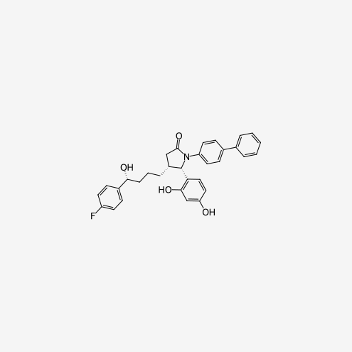 O=C1C[C@@H](CCC[C@@H](O)c2ccc(F)cc2)[C@@H](c2ccc(O)cc2O)N1c1ccc(-c2ccccc2)cc1